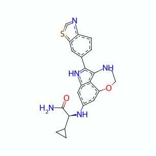 NC(=O)[C@@H](Nc1cc2c3c(c(-c4ccc5ncsc5c4)[nH]c3c1)NCCO2)C1CC1